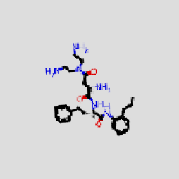 CCCc1ccccc1NC(=O)[C@H](CCc1ccccc1)NC(=O)[C@@H](N)CC(=O)N(CCN)CCN